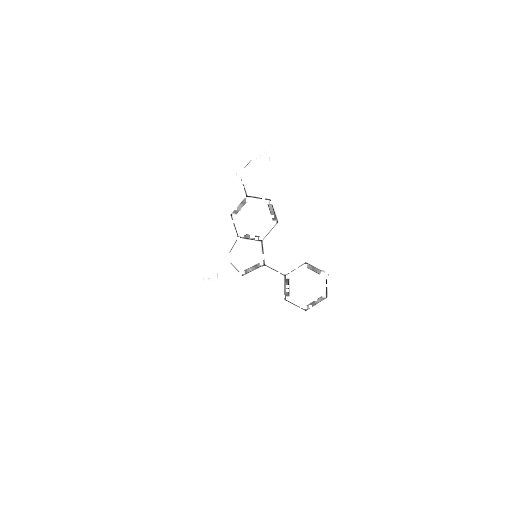 COc1ccc2c(-c3cccnc3)csc2c1.Cl